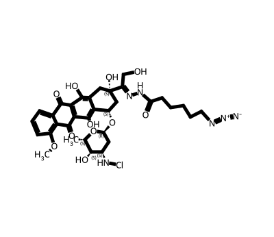 COc1cccc2c1C(=O)c1c(O)c3c(c(O)c1C2=O)C[C@@](O)(C(CO)=NNC(=O)CCCCCN=[N+]=[N-])C[C@@H]3O[C@H]1C[C@H](NCl)[C@H](O)[C@H](C)O1